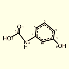 O=C(O)Nc1cccc(O)c1